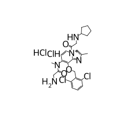 CC1=C[N+]2(C(=O)CNC3CCCC3)C=CC(N(C)C(=O)CN)=C(OCc3c(Cl)cccc3Cl)C2=N1.Cl.Cl